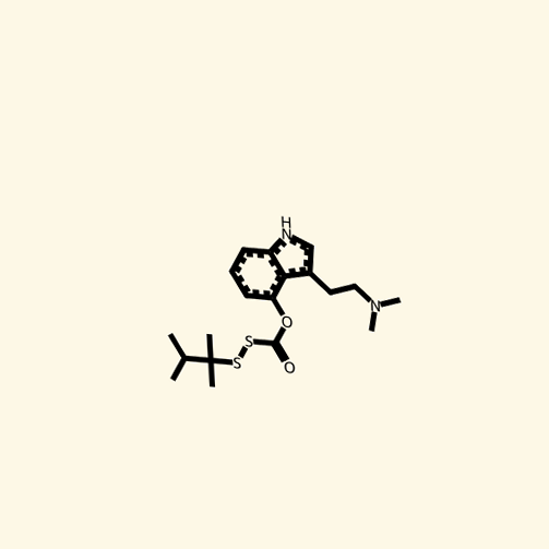 CC(C)C(C)(C)SSC(=O)Oc1cccc2[nH]cc(CCN(C)C)c12